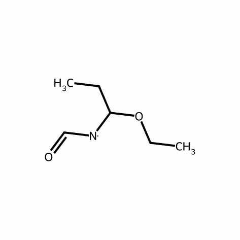 CCOC(CC)[N]C=O